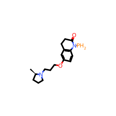 C[C@@H]1CCCN1CCCOc1ccc2c(c1)CCC(=O)N2P